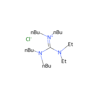 CCCCN(CCCC)C(N(CC)CC)=[N+](CCCC)CCCC.[Cl-]